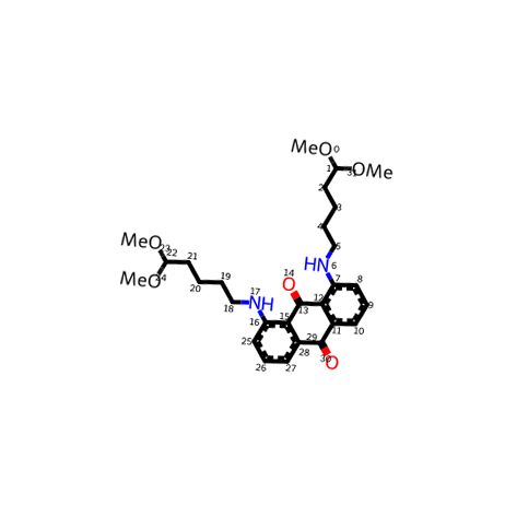 COC(CCCCNc1cccc2c1C(=O)c1c(NCCCCC(OC)OC)cccc1C2=O)OC